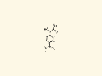 COC(=O)c1ccc(C(O)C(=O)O)cc1